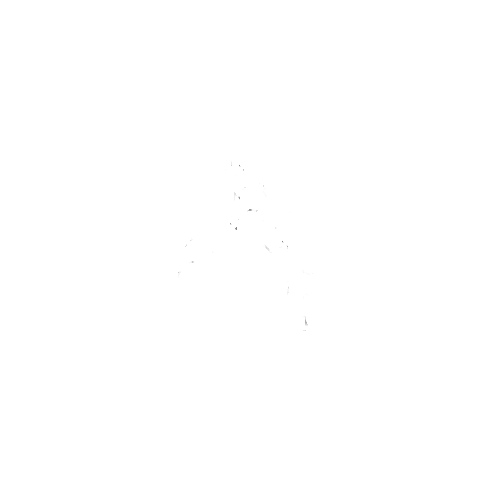 C#Cc1ccc(Cn2ccc3c4c(NCc5ccc(I)cc5)nc(N)nc4ccc32)cc1